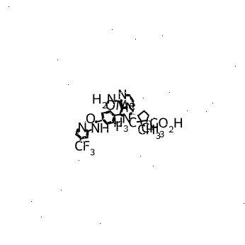 COc1cc(C(=O)Nc2cc(C(F)(F)F)ccn2)cc(F)c1-c1nc([C@@H]2CC[C@](C)(C(=O)O)C2(C)C)n2ccnc(N)c12